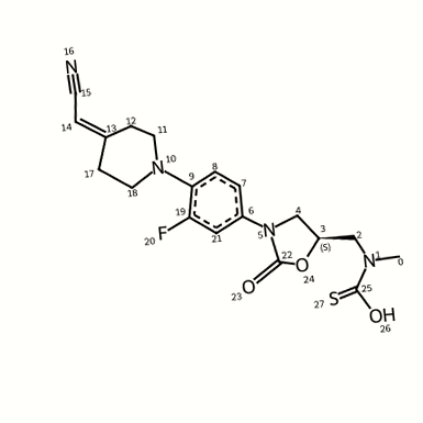 CN(C[C@@H]1CN(c2ccc(N3CCC(=CC#N)CC3)c(F)c2)C(=O)O1)C(O)=S